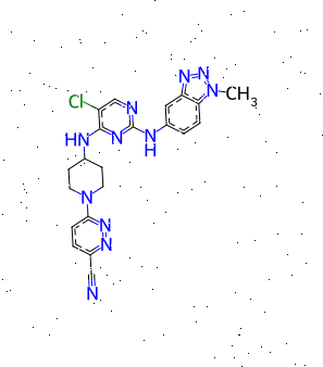 Cn1nnc2cc(Nc3ncc(Cl)c(NC4CCN(c5ccc(C#N)nn5)CC4)n3)ccc21